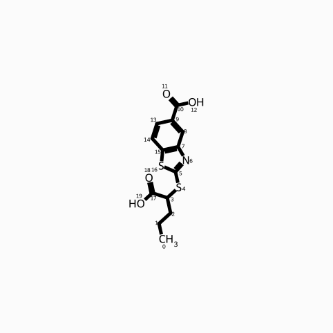 CCCC(Sc1nc2cc(C(=O)O)ccc2s1)C(=O)O